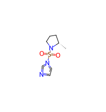 C[C@H]1CCCN1S(=O)(=O)n1ccnc1